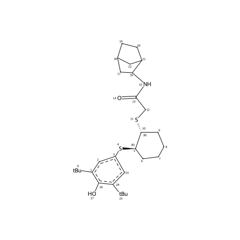 CC(C)(C)c1cc(S[C@@H]2CCCC[C@H]2SCC(=O)NC2CC3CCC2C3)cc(C(C)(C)C)c1O